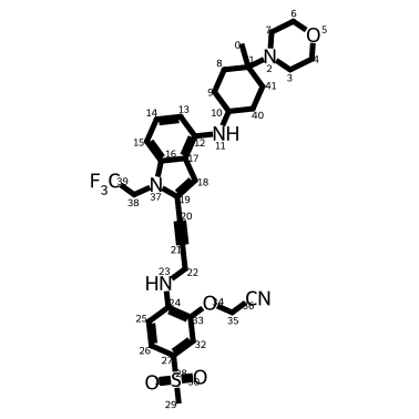 CC1(N2CCOCC2)CCC(Nc2cccc3c2cc(C#CCNc2ccc(S(C)(=O)=O)cc2OCC#N)n3CC(F)(F)F)CC1